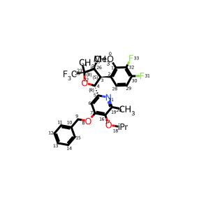 COc1c([C@H]2[C@H](c3cc(OCc4ccccc4)c(OC(C)C)c(C)n3)O[C@@](C)(C(F)(F)F)[C@H]2C)ccc(F)c1F